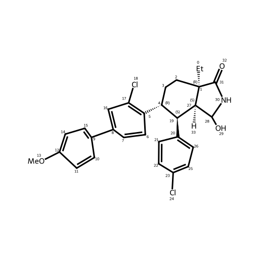 CC[C@@]12CC[C@@H](c3ccc(-c4ccc(OC)cc4)cc3Cl)[C@H](c3ccc(Cl)cc3)[C@@H]1C(O)NC2=O